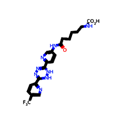 O=C(O)NCCCCCC(=O)Nc1ccc(C2=NN=C(c3ccc(C(F)(F)F)cn3)NN2)nc1